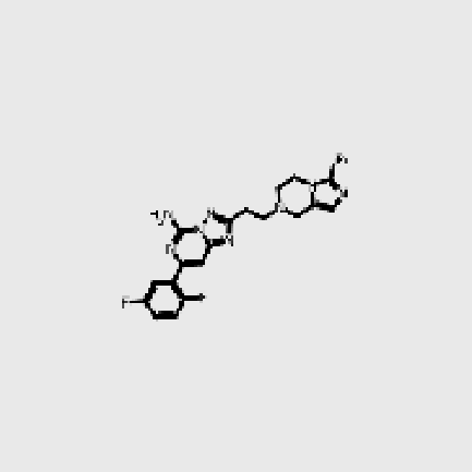 CC(C)c1ncc2n1CCN(CCc1nc3cc(-c4cc(F)ccc4F)nc(N)n3n1)C2